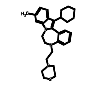 Cc1ccc2c(C3CCCCC3)c3n(c2c1)CCN(CCN1CCSCC1)c1ccccc1-3